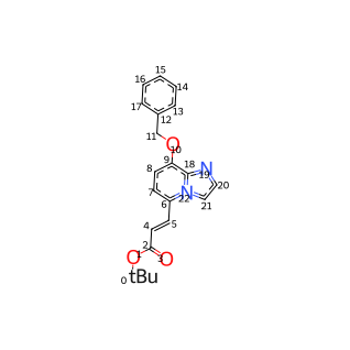 CC(C)(C)OC(=O)/C=C/c1ccc(OCc2ccccc2)c2nccn12